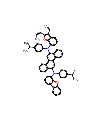 C=Cc1c(/C=C\C)oc2c(N(c3ccc(C(C)C)cc3)c3cc4c5ccccc5c(N(c5ccc(C(C)C)cc5)c5cccc6c5oc5ccccc56)cc4c4ccccc34)cccc12